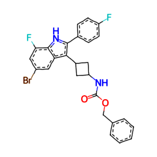 O=C(NC1CC(c2c(-c3ccc(F)cc3)[nH]c3c(F)cc(Br)cc23)C1)OCc1ccccc1